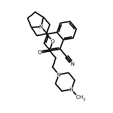 CN1CCN(CCC(=O)OC2CC3CCC(C2)N3c2ccc(C#N)c3ccccc23)CC1